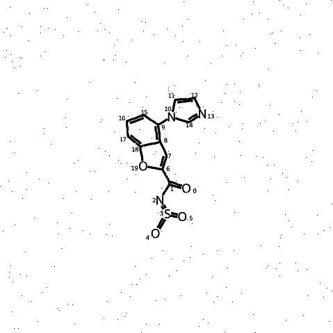 O=C(N=S(=O)=O)c1cc2c(-n3ccnc3)cccc2o1